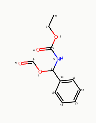 CCOC(=O)NC(OC=O)c1ccccc1